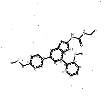 CCNC(=O)Nc1nc2cc(-c3ccc(COC)nc3)cc(-c3ncccc3OC)c2[nH]1